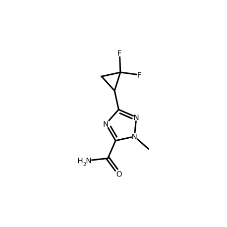 Cn1nc(C2CC2(F)F)nc1C(N)=O